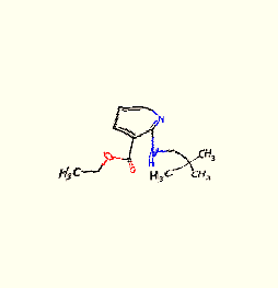 CCOC(=O)c1cccnc1NCC(C)(C)C